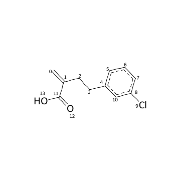 C=C(CCc1cccc(Cl)c1)C(=O)O